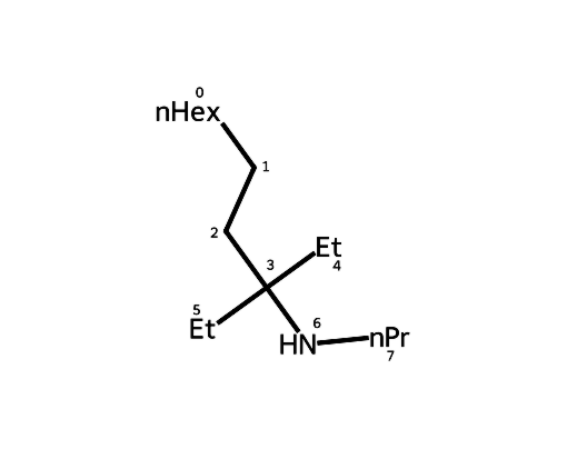 CCCCCCCCC(CC)(CC)NCCC